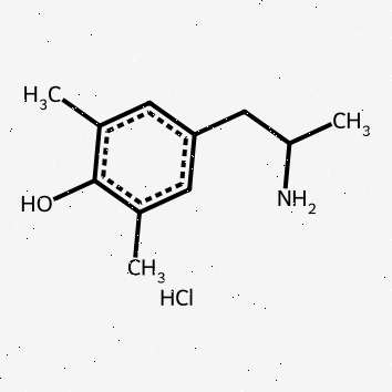 Cc1cc(CC(C)N)cc(C)c1O.Cl